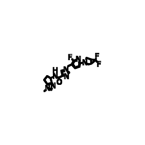 Cn1cnc2c1CC[C@H]2NC(=O)c1cn(Cc2ccc(N3CC4C(C3)C4(F)F)nc2F)cn1